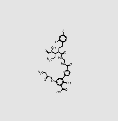 CC[C@H]([C@@H](CCc1ccc(F)cc1F)C(=O)NCNC(=O)c1ccc(-c2cc(OCC(=O)OC)cc(C(=O)O)c2O)o1)N(O)C=O